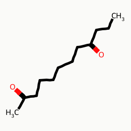 CCCC(=O)CCCCCCC(C)=O